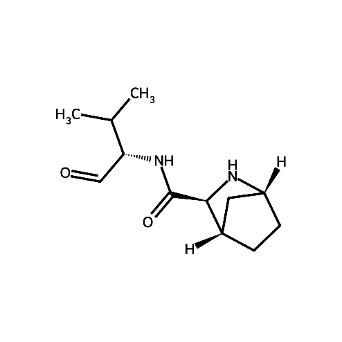 CC(C)[C@@H](C=O)NC(=O)[C@H]1N[C@@H]2CC[C@H]1C2